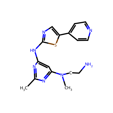 Cc1nc(Nc2ncc(-c3ccncc3)s2)cc(N(C)CCN)n1